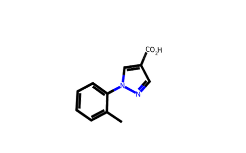 Cc1ccccc1-n1cc(C(=O)O)cn1